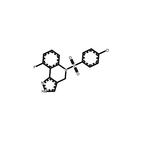 O=S(=O)(c1ccc(Cl)cc1)N1Cc2c[nH]nc2-c2c(F)cccc21